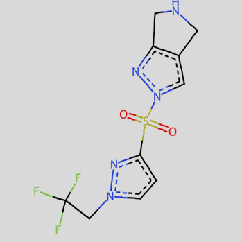 O=S(=O)(c1ccn(CC(F)(F)F)n1)n1cc2c(n1)CNC2